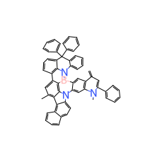 C=C1C=C(c2ccccc2)N(C)c2cc3c(cc21)B1c2c(cc(C)c4c5c6ccccc6ccc5n-3c24)-c2cccc3c2N1c1ccccc1C3(c1ccccc1)c1ccccc1